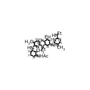 CCNc1ncc(C)c(Nc2cc(C)c(Cl)c(N(CC)c3ncc(C)c(Nc4cccc(NC(C)=O)c4C)n3)c2)n1